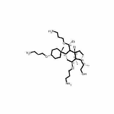 CC[C@@H](OCCCN)C1[C@@H]2CC[C@H]([C@H](C)CO)[C@@]2(C)[C@@H](OCCCN)C[C@@H]1[C@]1(C)CC[C@H](OCCCN)CC1